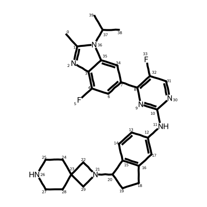 Cc1nc2c(F)cc(-c3nc(Nc4ccc5c(c4)CCC5N4CC5(CCNCC5)C4)ncc3F)cc2n1C(C)C